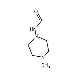 CN1CCN(NC=O)CC1